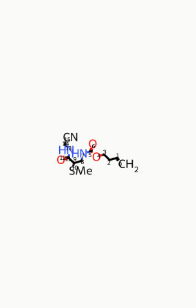 C=CCCOC(=O)NCC(SC)C(=O)NCC#N